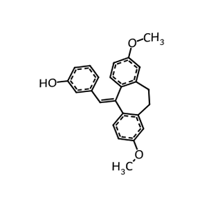 COc1ccc2c(c1)CCc1cc(OC)ccc1C2=Cc1cccc(O)c1